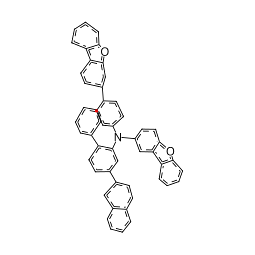 c1ccc(-c2ccc(-c3ccc4ccccc4c3)cc2N(c2ccc(-c3ccc4c(c3)oc3ccccc34)cc2)c2ccc3oc4ccccc4c3c2)cc1